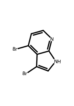 Brc1ccnc2[nH]cc(Br)c12